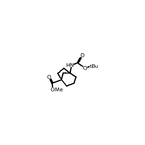 COC(=O)C12CCCC(NC(=O)OC(C)(C)C)(CC1)C2